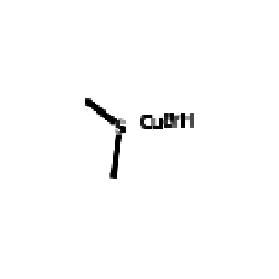 Br.CSC.[Cu]